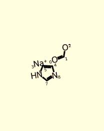 O=C[O-].[Na+].c1c[nH]cn1